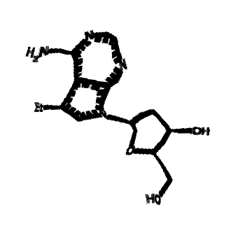 CCc1cn([C@H]2C[C@@H](O)[C@@H](CO)O2)c2ncnc(N)c12